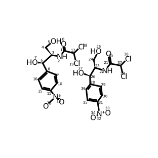 O=C(N[C@H](CO)[C@H](O)c1ccc([N+](=O)[O-])cc1)C(Cl)Cl.O=C(N[C@H](CO)[C@H](O)c1ccc([N+](=O)[O-])cc1)C(Cl)Cl